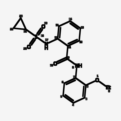 CCOc1ccccc1NC(=O)c1ccccc1NS(=O)(=O)C1CC1